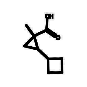 CC1(C(=O)O)CC1C1CCC1